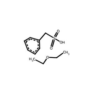 CCOCC.O=S(=O)(O)Cc1ccccc1